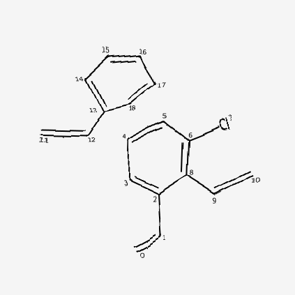 C=Cc1cccc(Cl)c1C=C.C=Cc1ccccc1